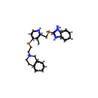 Cc1c(SCCN2CCc3ccccc3C2)ccnc1CSc1nc2ccccc2[nH]1